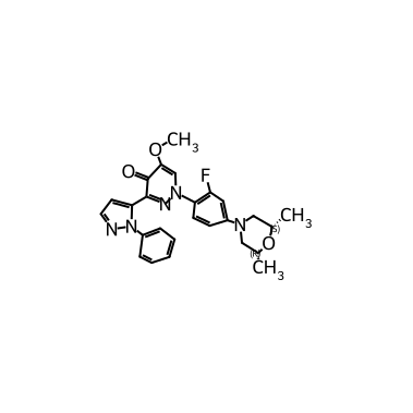 COc1cn(-c2ccc(N3C[C@@H](C)O[C@@H](C)C3)cc2F)nc(-c2ccnn2-c2ccccc2)c1=O